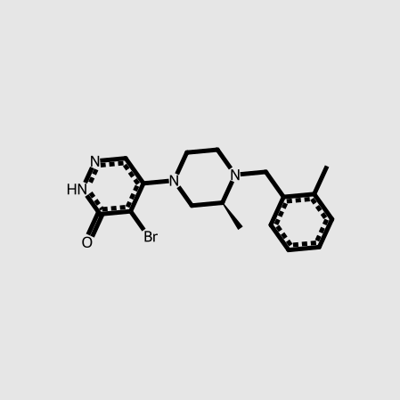 Cc1ccccc1CN1CCN(c2cn[nH]c(=O)c2Br)C[C@@H]1C